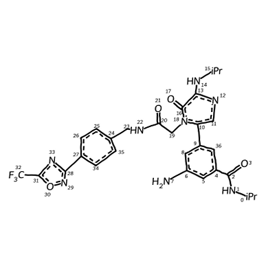 CC(C)NC(=O)c1cc(N)cc(-c2cnc(NC(C)C)c(=O)n2CC(=O)NCc2ccc(-c3noc(C(F)(F)F)n3)cc2)c1